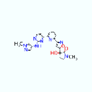 CN1CCC(O)(c2cc(-c3cccc(-c4ccnc(Nc5cnn(C)c5)n4)n3)no2)C1=O